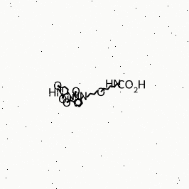 O=C(O)NCCCCOCCCCNc1cccc2c1C(=O)N(C1CCC(=O)NC1=O)C2=O